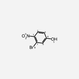 O=[N+]([O-])c1ccc(O)cc1Br